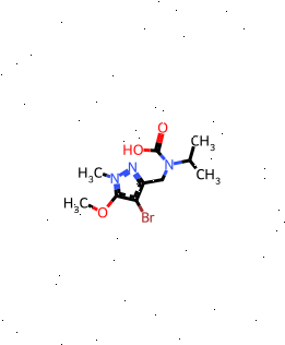 COc1c(Br)c(CN(C(=O)O)C(C)C)nn1C